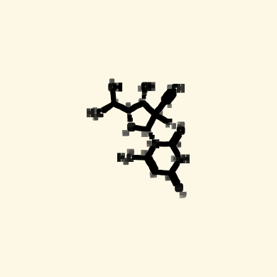 C#CC1(F)[C@@H](O)[C@@H]([C@@H](C)O)O[C@H]1n1c(C)cc(=O)[nH]c1=O